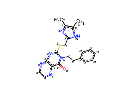 Cc1nc(CSc2nc3nccnc3c(=O)n2CCc2ccccc2)[nH]c1C